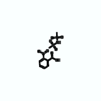 CS(=O)(=O)NS(C)(=O)=O.O=C(O)c1ccccc1[N+](=O)[O-]